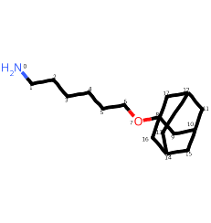 NCCCCCCOC12CC3CC(CC(C3)C1)C2